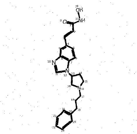 O=C(C=Cc1ccc2c(c1)ncn2C1CCN(CCCc2ccccc2)C1)NO